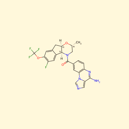 C[C@@H]1CN(C(=O)c2ccc3nc(N)c4cncn4c3c2)[C@H]2c3cc(F)c(OC(F)(F)F)cc3C[C@H]2O1